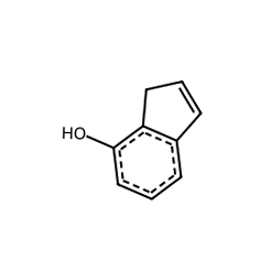 Oc1cccc2c1CC=C2